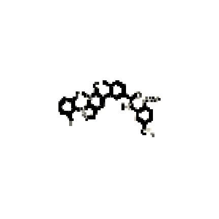 COc1ccc(C(F)(F)F)cc1NC(=O)c1ccc(C)c(-c2cc3cnn(-c4c(F)cccc4F)c3n(C)c2=O)c1